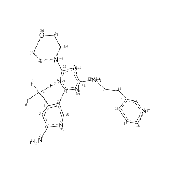 Nc1cc(C(F)(F)F)c(-c2nc(NCCc3cccnc3)nc(N3CCOCC3)n2)cn1